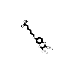 CC(=O)C(C)Oc1ccc(OCCCCCC(=O)O)cc1